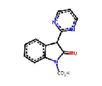 O=C(O)N1C(=O)C(c2ncccn2)c2ccccc21